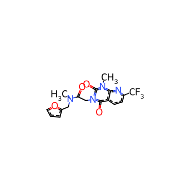 CN(Cc1ccco1)C(=O)Cn1c(=O)c2ccc(C(F)(F)F)nc2n(C)c1=O